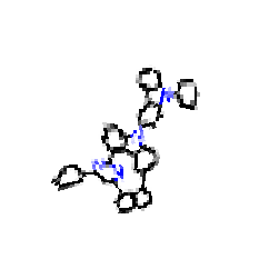 c1ccc(-c2ccc3c(c2)c2c(-c4nc(-c5ccccc5)cc(-c5ccccc5)n4)cccc2n3-c2ccc3c(c2)c2ccccc2n3-c2ccccc2)cc1